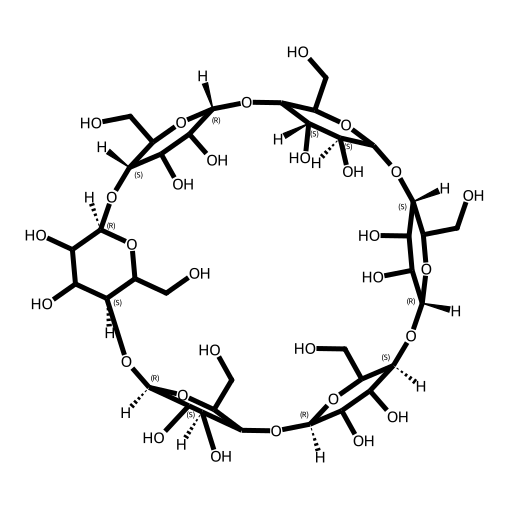 OCC1O[C@@H]2O[C@@H]3C(CO)O[C@H](O[C@@H]4C(CO)O[C@H](OC5C(CO)OC(O[C@@H]6C(CO)O[C@H](O[C@@H]7C(CO)O[C@H](OC1[C@@H](O)C2O)C(O)C7O)C(O)C6O)[C@@H](O)[C@@H]5O)C(O)C4O)C(O)C3O